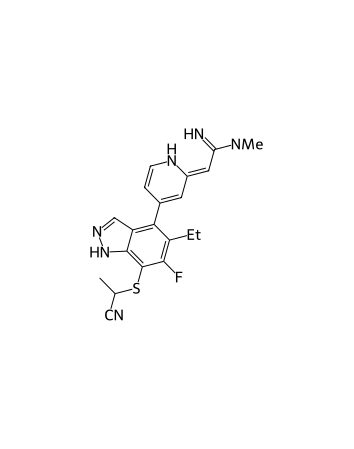 CCc1c(F)c(SC(C)C#N)c2[nH]ncc2c1C1=C/C(=C/C(=N)NC)NC=C1